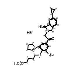 Br.CCOC(=O)CCCCOc1c(N2CCCC2)cc(C(=O)CN2Cc3ccc(C4CC4)nc3C2=N)cc1C(C)(C)C